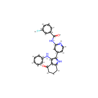 O=C(Nc1cc(-c2[nH]c3c(c2Nc2ccccc2)C(=O)CCC3)ccn1)c1cccc(F)c1